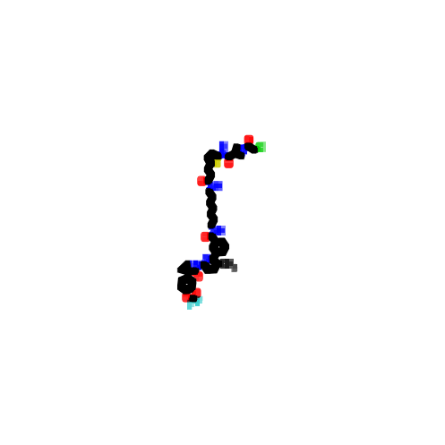 Cc1ccc(NC(=O)C2(c3ccc4c(c3)OC(F)(F)O4)CC2)nc1-c1cccc(C(=O)NCCCCCCCNC(=O)CCc2ccc(NC(=O)C3CN(C(=O)CCl)C3)s2)c1